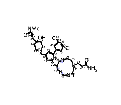 CNC(=O)NCC1(O)CCN(Cc2cc(OC3=C/N=C/NCCN(CCC(N)=O)CC/N=C\3)nc(-c3cc(Cl)cc(Cl)c3)c2)CC1